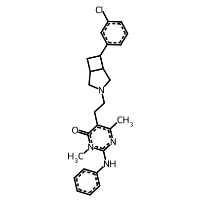 Cc1nc(Nc2ccccc2)n(C)c(=O)c1CCN1CC2CC(c3cccc(Cl)c3)C2C1